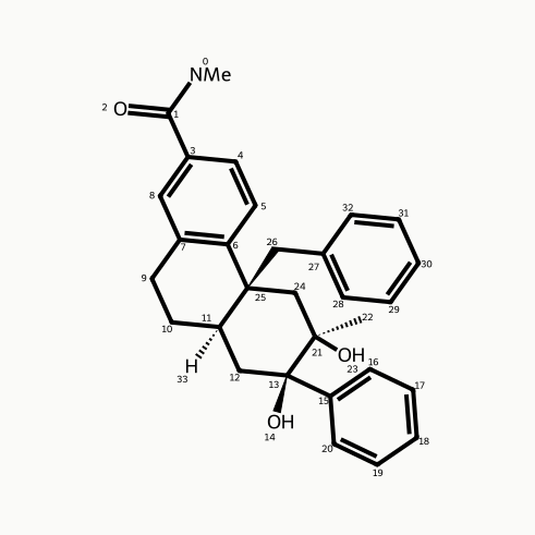 CNC(=O)c1ccc2c(c1)CC[C@@H]1C[C@@](O)(c3ccccc3)[C@](C)(O)C[C@@]21Cc1ccccc1